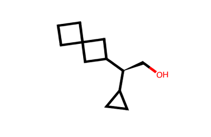 OC[C@@H](C1CC1)C1CC2(CCC2)C1